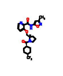 Cc1cc(NC(=O)c2ncccc2OC[C@H]2CCCN2C(=O)[C@H]2CC[C@H](C(F)(F)F)CC2)on1